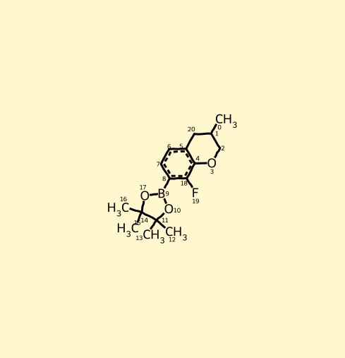 CC1COc2c(ccc(B3OC(C)(C)C(C)(C)O3)c2F)C1